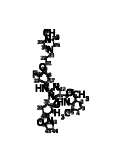 Cc1cccc(C)c1NC(=O)c1cnc(Nc2ccc(OCCCN3CCN(C)CC3)c(F)c2)nc1Oc1cccc(N2CCCC2=O)c1